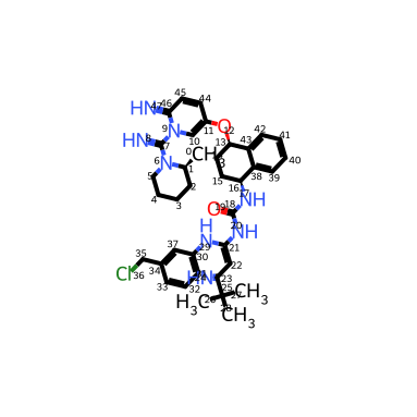 C[C@H]1CCCCN1C(=N)n1cc(O[C@@H]2CC[C@H](NC(=O)N/C(=C/C(=N)C(C)(C)C)Nc3cccc(CCl)c3)c3ccccc32)ccc1=N